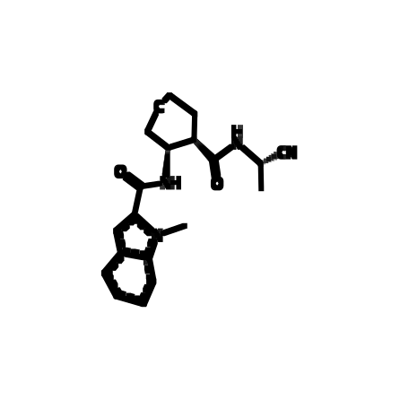 C[C@@H](C#N)NC(=O)[C@@H]1CCCC[C@@H]1NC(=O)c1cc2ccccc2n1C